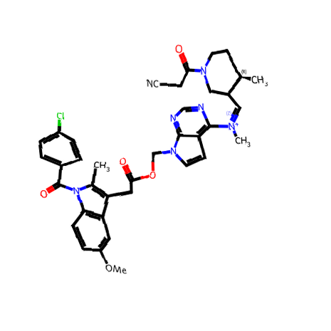 COc1ccc2c(c1)c(CC(=O)OCn1ccc3c(/[N+](C)=C\C4CN(C(=O)CC#N)CC[C@H]4C)ncnc31)c(C)n2C(=O)c1ccc(Cl)cc1